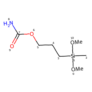 CO[Si](C)(CCCOC(N)=O)OC